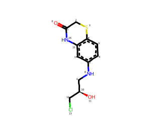 O=C1CSc2ccc(NC[C@@H](O)CCl)cc2N1